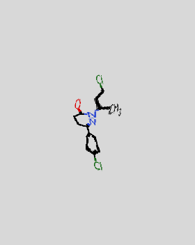 CC(CCCl)N1N=C(c2ccc(Cl)cc2)CCC1=O